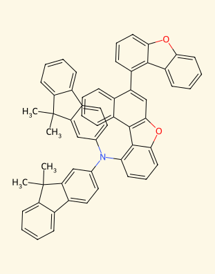 CC1(C)c2ccccc2-c2ccc(N(c3ccc4c(c3)C(C)(C)c3ccccc3-4)c3cccc4oc5cc(-c6cccc7oc8ccccc8c67)c6ccccc6c5c34)cc21